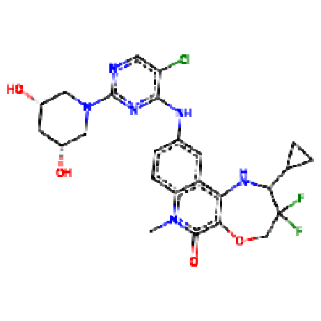 Cn1c(=O)c2c(c3cc(Nc4nc(N5C[C@H](O)C[C@H](O)C5)ncc4Cl)ccc31)NC(C1CC1)C(F)(F)CO2